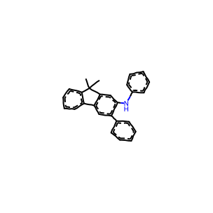 CC1(C)c2ccccc2-c2cc(-c3ccccc3)c(Nc3ccccc3)cc21